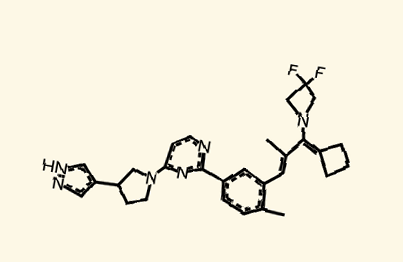 C/C(=C\c1cc(-c2nccc(N3CCC(c4cn[nH]c4)C3)n2)ccc1C)C(=C1CCC1)N1CC(F)(F)C1